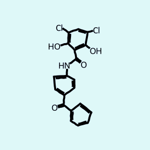 O=C(c1ccccc1)c1ccc(NC(=O)c2c(O)c(Cl)cc(Cl)c2O)cc1